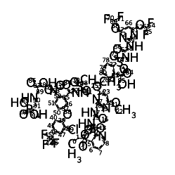 CCS(=O)(=O)c1cccnc1S(=O)(=O)NC(=O)Nc1nc(OC)cc(OC)n1.CS(=O)(=O)NC(=O)c1cc(Oc2ccc(C(F)(F)F)cc2Cl)ccc1[N+](=O)[O-].O=C(Nc1nc(OC(F)F)cc(OC(F)F)n1)NS(=O)(=O)c1ccccc1C(=O)O.O=C(O)CNCP(=O)(O)O